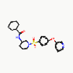 O=C(NC1CCCN(S(=O)(=O)c2ccc(Oc3cccnc3)cc2)C1)C1CCCCC1